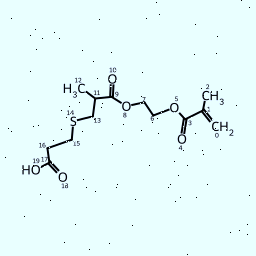 C=C(C)C(=O)OCCOC(=O)C(C)CSCCC(=O)O